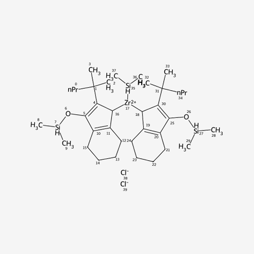 CCCC(C)(C)C1=C(O[SiH](C)C)C2=C(CCCC2)[CH]1[Zr+2]([CH]1C2=C(CCCC2)C(O[SiH](C)C)=C1C(C)(C)CCC)[SiH](C)C.[Cl-].[Cl-]